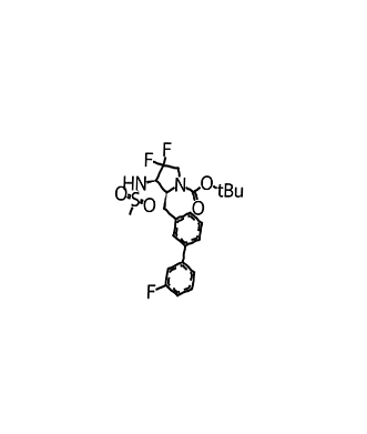 CC(C)(C)OC(=O)N1CC(F)(F)[C@H](NS(C)(=O)=O)[C@@H]1Cc1cccc(-c2cccc(F)c2)c1